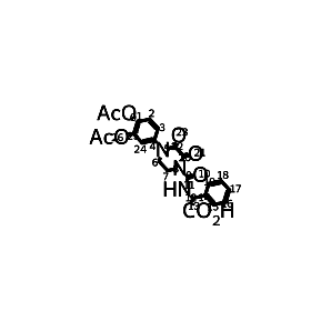 CC(=O)Oc1ccc(N2CCN(C(=O)NC(C(=O)O)c3ccccc3)C(=O)C2=O)cc1OC(C)=O